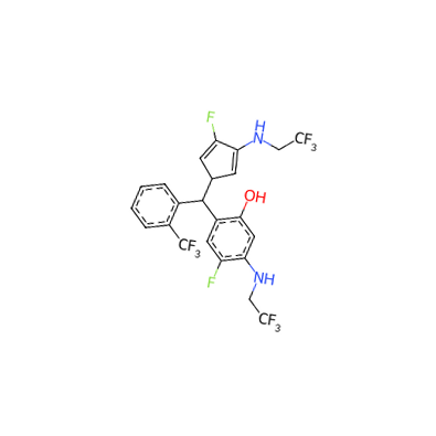 Oc1cc(NCC(F)(F)F)c(F)cc1C(c1ccccc1C(F)(F)F)C1C=C(F)C(NCC(F)(F)F)=C1